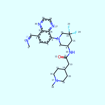 C/N=C\c1ccc(N2CC(NC(=O)CC3CCN(C)CC3)CC(F)(F)C2)c2nccnc12